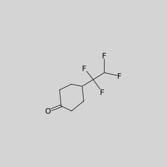 O=C1CCC(C(F)(F)C(F)F)CC1